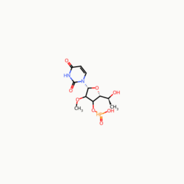 COC1C(O[PH](=O)O)[C@@H]([C@H](C)O)O[C@H]1n1ccc(=O)[nH]c1=O